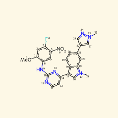 COc1cc(F)c([N+](=O)[O-])cc1Nc1nccc(-c2cn(C)c3cc(-c4cnn(C)c4)ccc23)n1